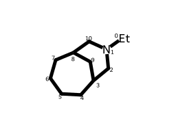 CCN1CC2CCCCC(C2)C1